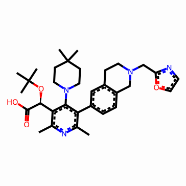 Cc1nc(C)c([C@H](OC(C)(C)C)C(=O)O)c(N2CCC(C)(C)CC2)c1-c1ccc2c(c1)CCN(Cc1ncco1)C2